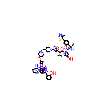 CC[C@H](NC(=O)[C@@H]1C[C@@H](O)CN1C(=O)[C@@H](c1cc(N2CCC(CN3CCC(O[C@H]4C[C@H](Oc5cc(N6C7CCC6CN(c6cc(-c8ccccc8O)nnc6N)C7)ccn5)C4)CC3)CC2)no1)C(C)C)c1ccc(-c2scnc2C)cc1